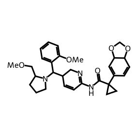 COCC1CCCN1C(c1ccccc1OC)C1C=CC(NC(=O)C2(C3=CC4OCOC4C=C3)CC2)=NC1